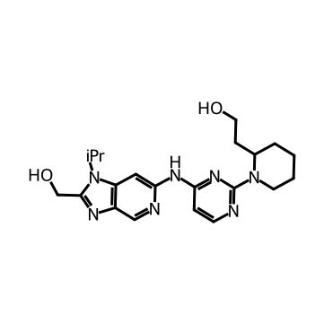 CC(C)n1c(CO)nc2cnc(Nc3ccnc(N4CCCCC4CCO)n3)cc21